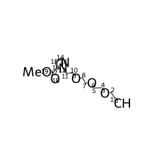 C#CCOCCOCCOCCn1nccc1C(=O)OC